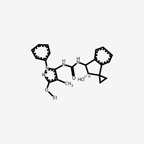 CCOc1nn(-c2ccccc2)c(NC(=O)NC2c3ccccc3C3(CC3)[C@@H]2O)c1C